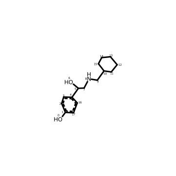 Oc1ccc(C(O)CNCC2CCCCC2)cc1